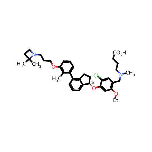 CCOc1cc(O[C@H]2CCc3c(-c4cccc(OCCCN5CCC5(C)C)c4C)cccc32)c(Cl)cc1CN(C)CCCC(=O)O